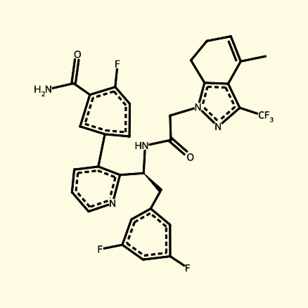 CC1=CCCc2c1c(C(F)(F)F)nn2CC(=O)N[C@@H](Cc1cc(F)cc(F)c1)c1ncccc1-c1ccc(F)c(C(N)=O)c1